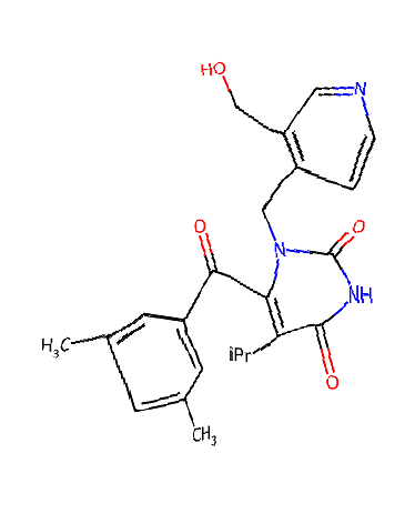 Cc1cc(C)cc(C(=O)c2c(C(C)C)c(=O)[nH]c(=O)n2Cc2ccncc2CO)c1